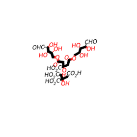 O=C(O)CC(O)(CC(=O)O)C(=O)O.O=C[C@H](O)[C@@H](O)[C@H](O)COC(=O)CC(O)(CC(=O)OC[C@@H](O)[C@H](O)[C@@H](O)C=O)C(=O)O